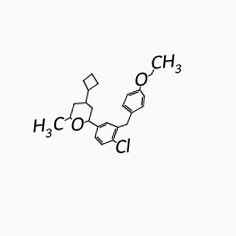 CCOc1ccc(Cc2cc(C3CC(C4CCC4)CC(C)O3)ccc2Cl)cc1